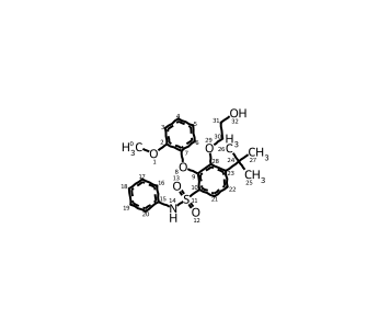 COc1ccccc1Oc1c(S(=O)(=O)Nc2ccccc2)ccc(C(C)(C)C)c1OCCO